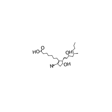 CCCC[C@@H](C)C[C@H](O)C=C[C@@H]1C(CCCCCCC(=O)O)=C(C#N)C[C@H]1O